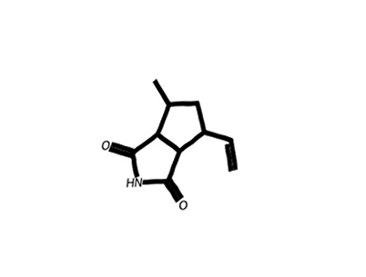 C=CC1CC(C)C2C(=O)NC(=O)C12